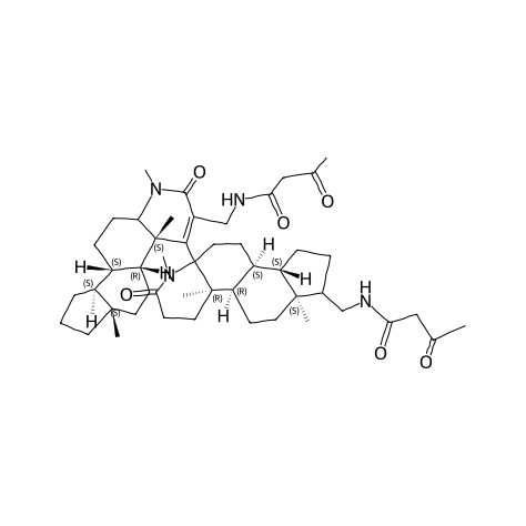 CC(=O)CC(=O)NCC1=C(C23CC[C@@H]4[C@@H](CC[C@]5(C)C(CNC(=O)CC(C)=O)CC[C@@H]45)[C@@]2(C)CCC(=O)N3C)[C@@]2(C)C(CC[C@@H]3[C@H]2CC[C@]2(C)CCC[C@@H]32)N(C)C1=O